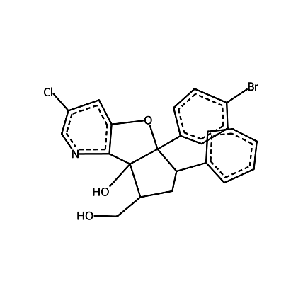 OCC1CC(c2ccccc2)C2(c3ccc(Br)cc3)Oc3cc(Cl)cnc3C12O